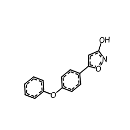 Oc1cc(-c2ccc(Oc3ccccc3)cc2)on1